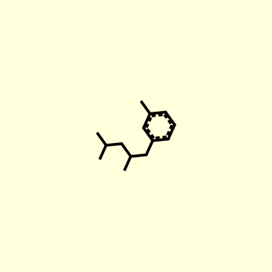 Cc1cccc(CC(C)CC(C)C)c1